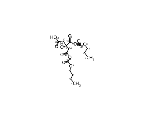 CCCC.CCCCOC(=O)OC(=O)CC(O)(CC(=O)O)C(=O)OC